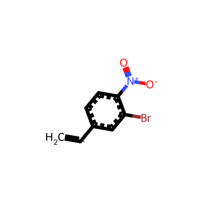 C=[C]c1ccc([N+](=O)[O-])c(Br)c1